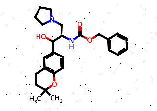 CC1(C)CCc2cc(C(O)[C@@H](CN3CCCC3)NC(=O)OCc3ccccc3)ccc2O1